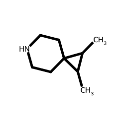 CC1C(C)C12CCNCC2